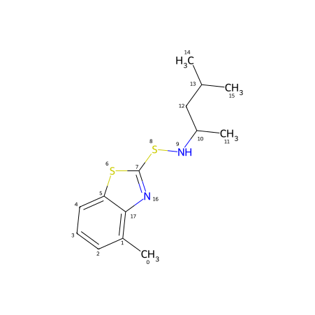 Cc1cccc2sc(SNC(C)CC(C)C)nc12